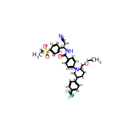 CCOCC1CCC(c2ccc(C(F)(F)F)cc2)CN1c1ccc(C(=O)N[C@H](CC#N)c2ccc(S(=O)(=O)CC)cc2)cc1